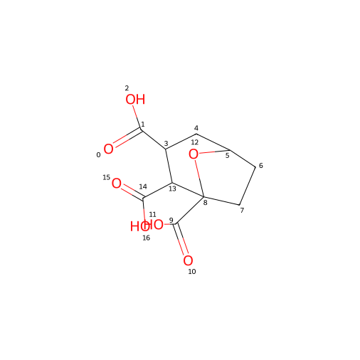 O=C(O)C1CC2CCC(C(=O)O)(O2)C1C(=O)O